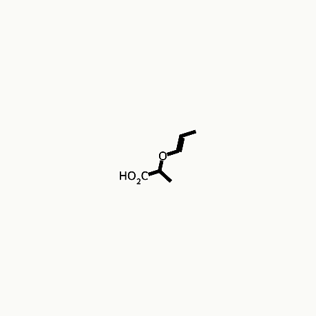 CC=COC(C)C(=O)O